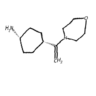 C=C([C@H]1CC[C@@H](N)CC1)N1CCOCC1